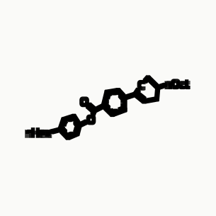 CCCCCCCCC1CC=C(c2ccc(C(=O)Oc3ccc(CCCCCC)cc3)cc2)CC1